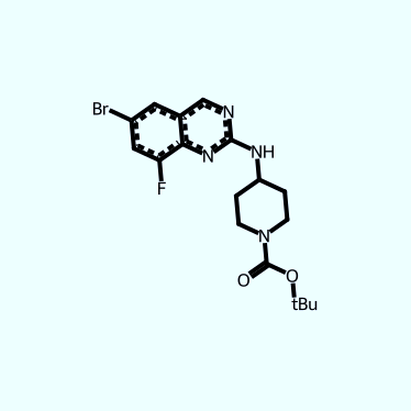 CC(C)(C)OC(=O)N1CCC(Nc2ncc3cc(Br)cc(F)c3n2)CC1